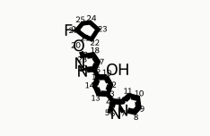 Oc1cc(-c2cnn3ccccc23)ccc1-c1ccc(O[C@H]2CCCC[C@H]2F)nn1